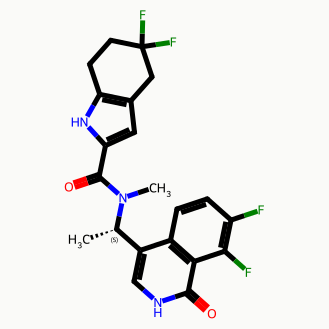 C[C@@H](c1c[nH]c(=O)c2c(F)c(F)ccc12)N(C)C(=O)c1cc2c([nH]1)CCC(F)(F)C2